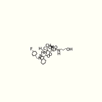 CC(C)(C)[C@H](NC(=O)c1nn(Cc2ccc(F)cc2)c2ccccc12)C(=O)NCC(=O)NCCCO